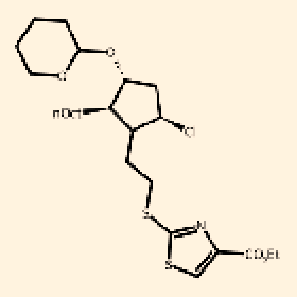 CCCCCCCC[C@@H]1C(CCSc2nc(C(=O)OCC)cs2)[C@H](Cl)C[C@H]1OC1CCCCO1